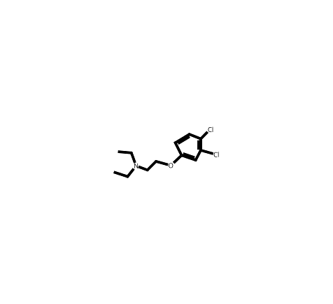 CCN(CC)CCOc1ccc(Cl)c(Cl)c1